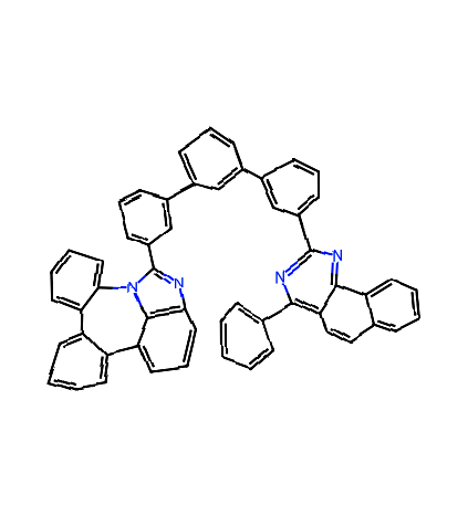 c1ccc(-c2nc(-c3cccc(-c4cccc(-c5cccc(-c6nc7cccc8c7n6-c6ccccc6-c6ccccc6-8)c5)c4)c3)nc3c2ccc2ccccc23)cc1